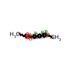 CCCCCC1COC(OC(=O)c2ccc(-c3ccc(-c4ccc(OCCCC)c(F)c4F)cc3)c(F)c2)OC1